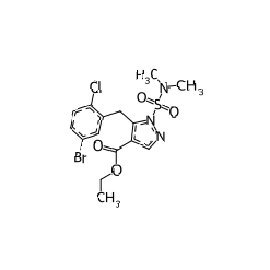 CCOC(=O)c1cnn(S(=O)(=O)N(C)C)c1Cc1cc(Br)ccc1Cl